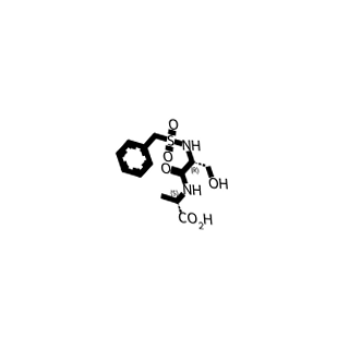 C[C@H](NC(=O)[C@@H](CO)NS(=O)(=O)Cc1ccccc1)C(=O)O